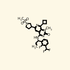 C=C[C@@H](Nc1nc(=O)n(C)c2c(C3CCC3)nc(C3CCN(S(C)(=O)=O)C3)cc12)c1cccc(C(F)F)c1F